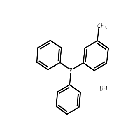 Cc1cc[c]c(P(c2ccccc2)c2ccccc2)c1.[LiH]